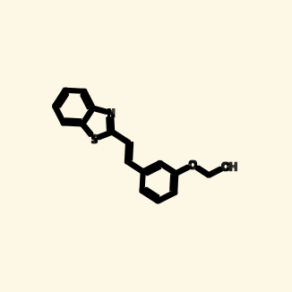 OCOc1cccc(C=Cc2nc3ccccc3s2)c1